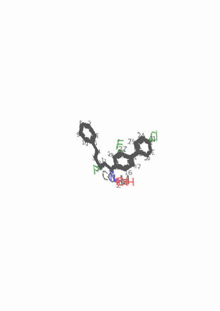 O=C(O)C(F)(CCc1ccccc1)CC(=NO)c1ccc(-c2ccc(Cl)cc2)c(F)c1